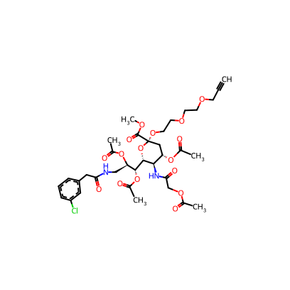 C#CCOCCOCCO[C@]1(C(=O)OC)C[C@H](OC(C)=O)[C@@H](NC(=O)COC(C)=O)[C@H]([C@H](OC(C)=O)[C@@H](CNC(=O)Cc2cccc(Cl)c2)OC(C)=O)O1